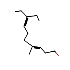 CCC(=CCCC(C)=CCCBr)CC